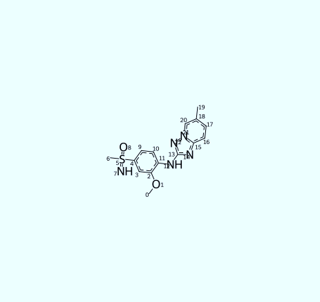 COc1cc(S(C)(=N)=O)ccc1Nc1nc2ccc(C)cn2n1